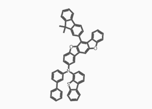 CC1(C)c2ccccc2-c2ccc(-c3c4oc5ccc(N(c6cccc(-c7ccccc7)c6)c6cccc7c6sc6ccccc67)cc5c4cc4oc5ccccc5c34)cc21